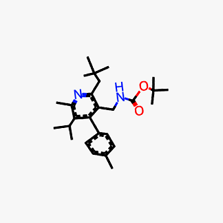 Cc1ccc(-c2c(CNC(=O)OC(C)(C)C)c(CC(C)(C)C)nc(C)c2C(C)C)cc1